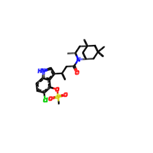 CC(CC(=O)N1C(C)CC2(C)CC1CC(C)(C)C2)c1c[nH]c2ccc(Cl)c(OS(C)(=O)=O)c12